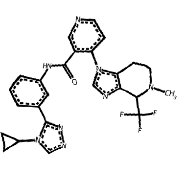 CN1CCc2c(ncn2-c2ccncc2C(=O)Nc2cccc(-c3nncn3C3CC3)c2)C1C(F)(F)F